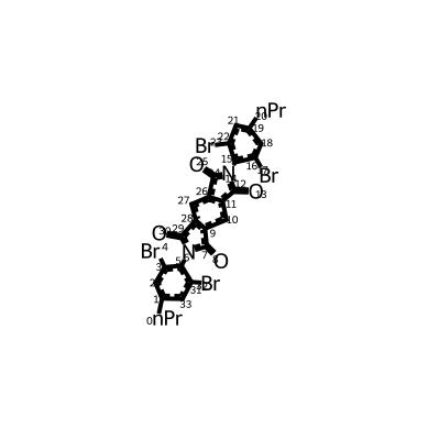 CCCc1cc(Br)c(-n2c(=O)c3cc4c(=O)n(-c5c(Br)cc(CCC)cc5Br)c(=O)c4cc3c2=O)c(Br)c1